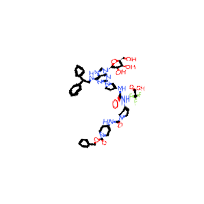 O=C(N[C@@H]1CCN(C(=O)NC2CCN(C(=O)OCc3ccccc3)CC2)C1)N[C@@H]1CCN(c2nc(NCC(c3ccccc3)c3ccccc3)c3ncn([C@@H]4O[C@H](CO)[C@@H](O)[C@H]4O)c3n2)C1.O=C(O)C(F)(F)F